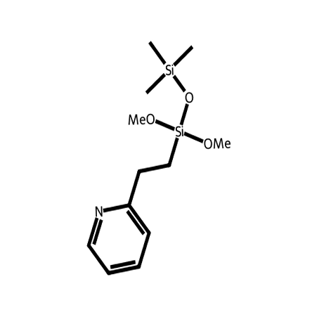 CO[Si](CCc1ccccn1)(OC)O[Si](C)(C)C